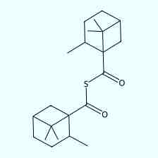 CC1CCC2CC1(C(=O)SC(=O)C13CC(CCC1C)C3(C)C)C2(C)C